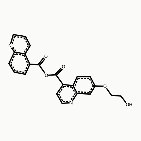 O=C(OC(=O)c1ccnc2cc(OCCO)ccc12)c1cccc2ncccc12